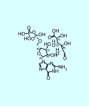 Nc1nc2c(ncn2[C@@H]2O[C@H](COP(=O)(O)OP(=O)(O)O)[C@@H](O)[C@H]2O)c(=O)[nH]1.O=C[C@H](O)[C@@H](O)[C@H](O)[C@H](O)C(=O)O